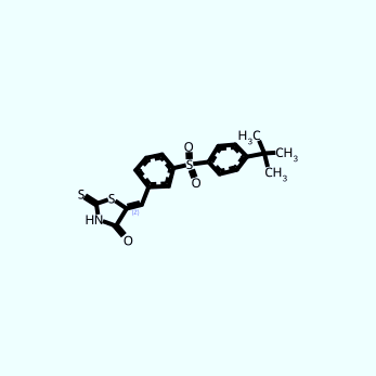 CC(C)(C)c1ccc(S(=O)(=O)c2cccc(/C=C3\SC(=S)NC3=O)c2)cc1